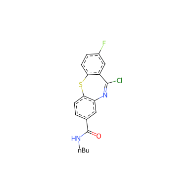 CCCCNC(=O)c1ccc2c(c1)N=C(Cl)c1cc(F)ccc1S2